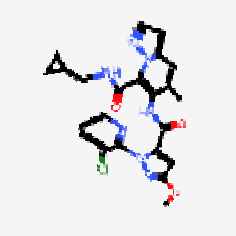 COc1cc(C(=O)Nc2c(C)cc3ccnn3c2C(=O)NCC2CC2)n(-c2ncccc2Cl)n1